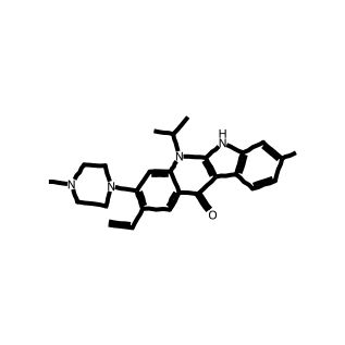 C=Cc1cc2c(=O)c3c4ccc(C)cc4[nH]c3n(C(C)C)c2cc1N1CCN(C)CC1